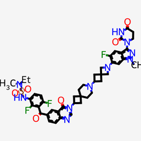 CCN(C)S(=O)(=O)Nc1ccc(F)c(C(=O)c2ccc3ncn(C4CC5(CCN(C6CC7(C6)CN(c6cc8c(cc6F)c(N6CCC(=O)NC6=O)nn8C)C7)CC5)C4)c(=O)c3c2)c1F